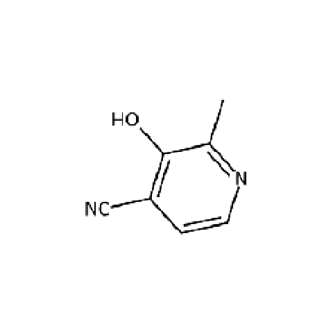 Cc1nccc(C#N)c1O